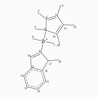 CC1=C(C)[C](C)([Zr]([CH3])([CH3])[C]2=Cc3ccccc3C2C)C(C)=C1C